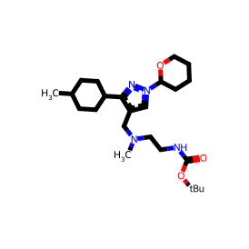 CC1CCC(c2nn(C3CCCCO3)cc2CN(C)CCNC(=O)OC(C)(C)C)CC1